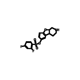 O=S(=O)(Oc1ccc2c(c1)C1CCNCC1O2)c1ccc(F)cc1F